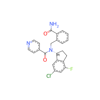 NC(=O)c1ccccc1CN(C(=O)c1ccncc1)[C@@H]1CCc2c(F)cc(Cl)cc21